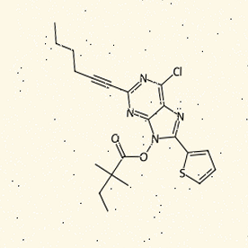 CCCCC#Cc1nc(Cl)c2nc(-c3cccs3)n(OC(=O)C(C)(C)CC)c2n1